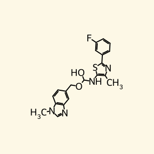 Cc1nc(-c2cccc(F)c2)sc1NC(O)OCc1ccc2c(c1)ncn2C